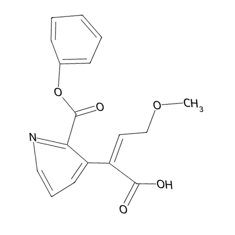 COCC=C(C(=O)O)c1cccnc1C(=O)Oc1ccccc1